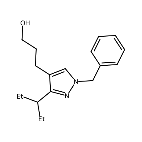 CCC(CC)c1nn(Cc2ccccc2)cc1CCCO